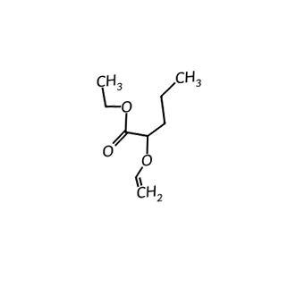 C=COC(CCC)C(=O)OCC